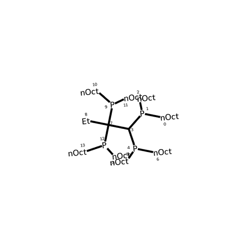 CCCCCCCCP(CCCCCCCC)C(P(CCCCCCCC)CCCCCCCC)C(CC)(P(CCCCCCCC)CCCCCCCC)P(CCCCCCCC)CCCCCCCC